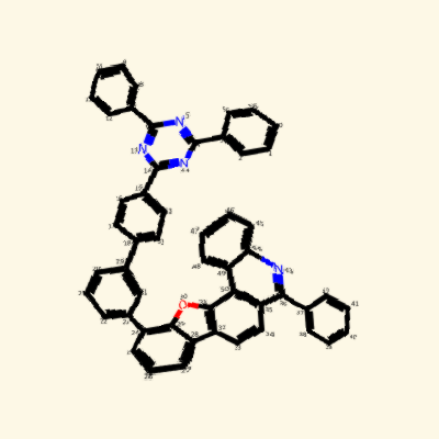 c1ccc(-c2nc(-c3ccccc3)nc(-c3ccc(-c4cccc(-c5cccc6c5oc5c6ccc6c(-c7ccccc7)nc7ccccc7c65)c4)cc3)n2)cc1